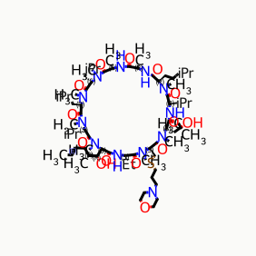 C/C=C/C[C@@H](C)[C@@H](O)[C@H]1C(=O)N[C@@H](CC)C(=O)N(C)[C@H](CSCCCN2CCOCC2)C(=O)N(C)[C@@H](CC(C)(C)O)C(=O)N[C@H](C(C)C)C(=O)N(C)[C@H](CCC(C)C)C(=O)N[C@H](C)C(=O)N[C@@H](C)C(=O)N(C)[C@@H](CC(C)C)C(=O)N(C)[C@H](CC(C)C)C(=O)N(C)[C@@H](C(C)C)C(=O)N1C